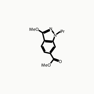 COC(=O)c1ccc2c(OC)nn(C(C)C)c2c1